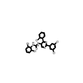 CCc1cccc(CC)c1NC(=O)Nc1cnc(-c2cc(Cl)cc(Cl)c2)nc1-c1ccccc1Cl